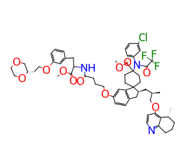 COC(=O)C(Cc1cccc(OCC[C@H]2COCCO2)c1)NC(=O)CCCOc1ccc2c(c1)C1(CCC(C(=O)OC)(N(C(=O)C(F)(F)F)c3cccc(Cl)c3)CC1)[C@@H](C[C@@H](C)COc1ccnc3c1[C@H](C)CCC3)C2